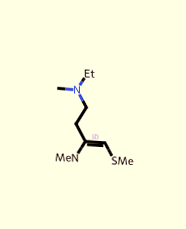 CCN(C)CC/C(=C/SC)NC